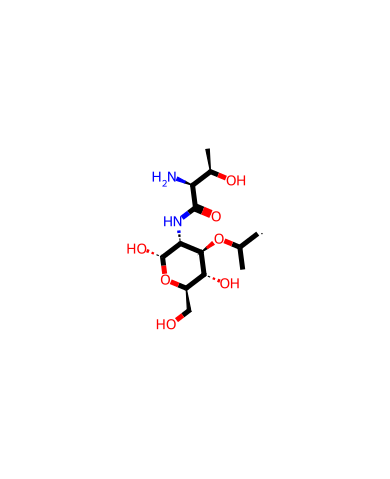 [CH2]C(C)O[C@H]1[C@H](O)[C@@H](CO)O[C@H](O)[C@@H]1NC(=O)[C@@H](N)[C@@H](C)O